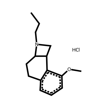 CCCN1CC2c3c(cccc3OC)CCC21.Cl